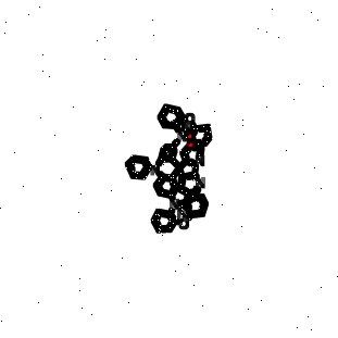 N#Cc1cnc2c(c1)C1(c3cc(N4c5ccccc5Oc5ccccc54)ccc3N(c3ccccc3)c3ccc(N4c5ccccc5Oc5ccccc54)cc31)c1cc(C#N)cnc1-2